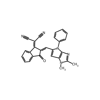 Cc1nc2c(cc(/C=C3\C(=O)c4ccccc4C3=C(C#N)C#N)n2-c2ccccc2)n1C